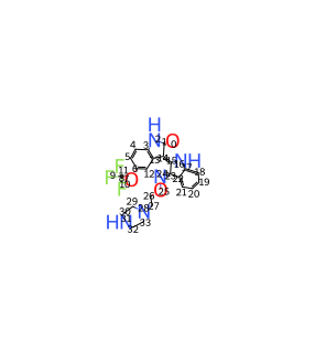 O=C1Nc2ccc(OC(F)(F)F)cc2/C1=C1/Nc2ccccc2/C1=N\OCCN1CCNCC1